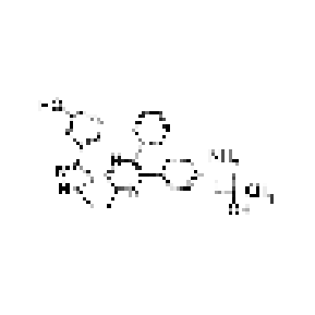 C[C@]1(O)C[C@@](N)(c2ccc(-c3nc4ccc5nnc(-c6cccc(O)c6)n5c4nc3-c3ccccc3)cc2)C1